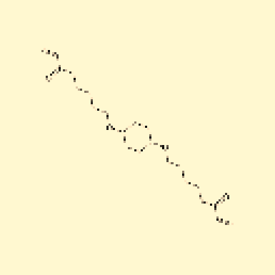 C=CC(=O)OCCCCOC1CCC(OCCCCOC(=O)C=C)CC1